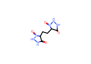 O=C1NN[N+](=O)C1CCC1C(=O)NN[N+]1=O